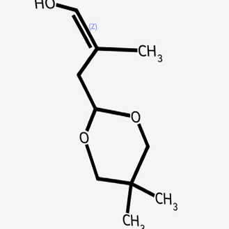 C/C(=C/O)CC1OCC(C)(C)CO1